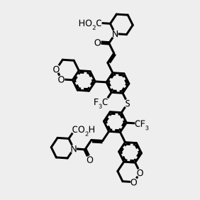 O=C(O)C1CCCCN1C(=O)/C=C/c1ccc(Sc2ccc(/C=C/C(=O)N3CCCCC3C(=O)O)c(-c3ccc4c(c3)CCOO4)c2C(F)(F)F)c(C(F)(F)F)c1-c1ccc2c(c1)CCOO2